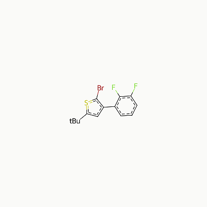 CC(C)(C)c1cc(-c2cccc(F)c2F)c(Br)s1